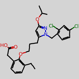 CCc1cccc(CC(=O)O)c1OCCCc1cc(OC(C)C)nn1Cc1ccc(Cl)cc1Cl